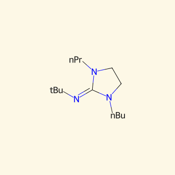 CCCCN1CCN(CCC)C1=NC(C)(C)C